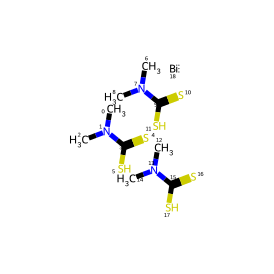 CN(C)C(=S)S.CN(C)C(=S)S.CN(C)C(=S)S.[Bi]